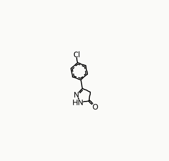 O=C1CC(c2ccc(Cl)cc2)=NN1